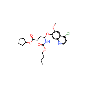 CCCCOC(=O)NC(CCC(=O)OC1CCCC1)Oc1cc2nccc(Cl)c2cc1OC